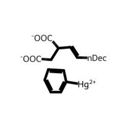 CCCCCCCCCCC=CC(CC(=O)[O-])C(=O)[O-].[Hg+2][c]1ccccc1